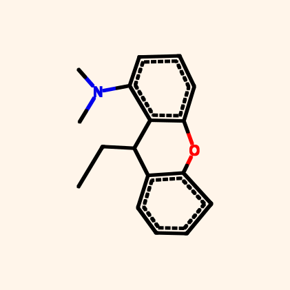 CCC1c2ccccc2Oc2cccc(N(C)C)c21